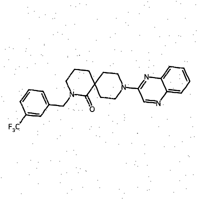 O=C1N(Cc2cccc(C(F)(F)F)c2)CCCC12CCN(c1cnc3ccccc3n1)CC2